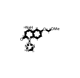 COCOc1ccc2c(ccc(=O)n2-n2ncnn2)c1.[NaH]